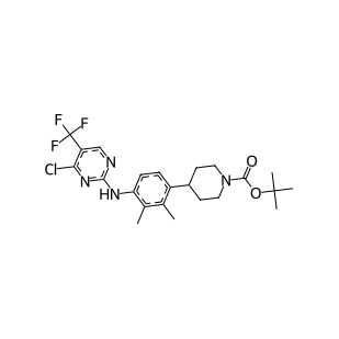 Cc1c(Nc2ncc(C(F)(F)F)c(Cl)n2)ccc(C2CCN(C(=O)OC(C)(C)C)CC2)c1C